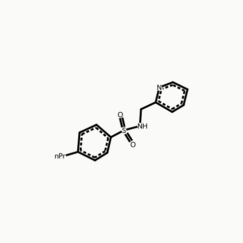 CCCc1ccc(S(=O)(=O)NCc2ccccn2)cc1